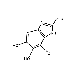 Cc1nc2cc(O)c(O)c(Cl)c2[nH]1